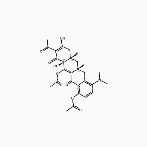 CC(=O)OC1=C2C(=O)c3c(OC(C)=O)ccc(N(C)C)c3C[C@H]2C[C@H]2CC(O)=C(C(C)=O)C(=O)[C@@]12O